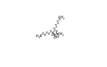 CCCCCCCC(C=C(C)C(=O)O)CCCCCCC